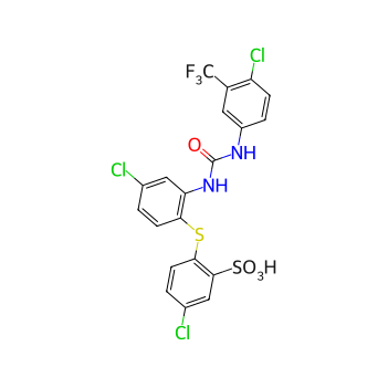 O=C(Nc1ccc(Cl)c(C(F)(F)F)c1)Nc1cc(Cl)ccc1Sc1ccc(Cl)cc1S(=O)(=O)O